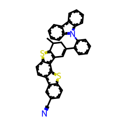 CC1CC(c2ccccc2-n2c3ccccc3c3ccccc32)=Cc2c1sc1ccc3c4cc(C#N)ccc4sc3c21